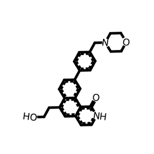 O=c1[nH]ccc2cc(CCO)c3ccc(-c4ccc(CN5CCOCC5)cc4)cc3c12